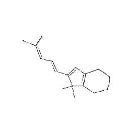 CC(C)=CC=CC1=CC2=C(CCCC2)C1(C)C